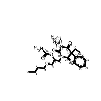 CCCCOCC(CN1C(=O)NC(=O)C(CC)(c2ccccc2)C1=O)OC(N)=O.[NaH].[NaH]